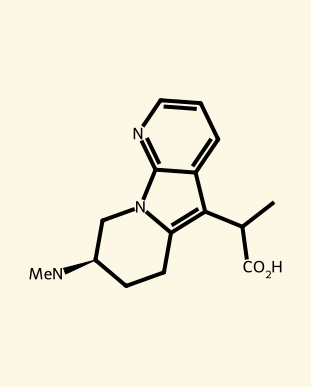 CN[C@@H]1CCc2c(C(C)C(=O)O)c3cccnc3n2C1